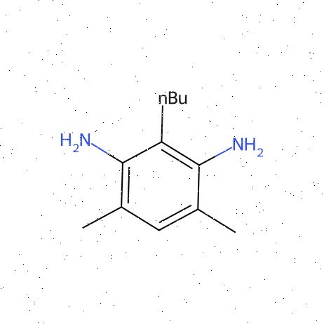 CCCCc1c(N)c(C)cc(C)c1N